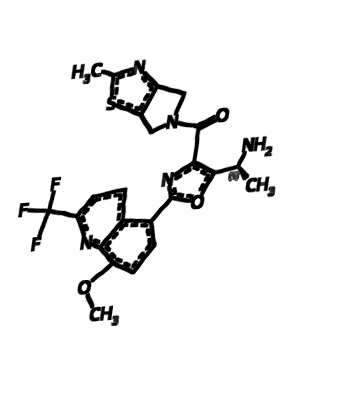 COc1ccc(-c2nc(C(=O)N3Cc4nc(C)sc4C3)c([C@H](C)N)o2)c2ccc(C(F)(F)F)nc12